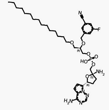 CCCCCCCCCCCCCCCOC[C@H](COP(=O)(O)OC[C@]1(N)CC[C@H](c2ccc3c(N)ncnn23)O1)OCc1cc(F)cc(C#N)c1